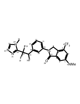 CNc1cc2c(c(C(F)(F)F)c1)CN(c1cccc(C(F)C(F)(F)c3nncn3C)c1)C2=O